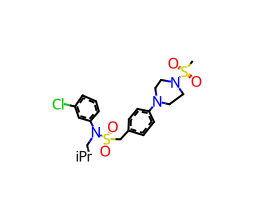 CC(C)CN(c1cccc(Cl)c1)S(=O)(=O)Cc1ccc(N2CCN(S(C)(=O)=O)CC2)cc1